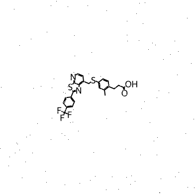 Cc1cc(SCc2ccnc3sc(-c4ccc(C(F)(F)F)cc4)nc23)ccc1CCC(=O)O